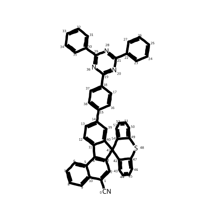 N#Cc1cc2c(c3ccccc13)-c1ccc(-c3ccc(-c4nc(-c5ccccc5)nc(-c5ccccc5)n4)cc3)cc1C21c2ccccc2Sc2ccccc21